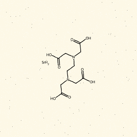 O=C(O)CN(CCN(CC(=O)O)CC(=O)O)CC(=O)O.[SrH2]